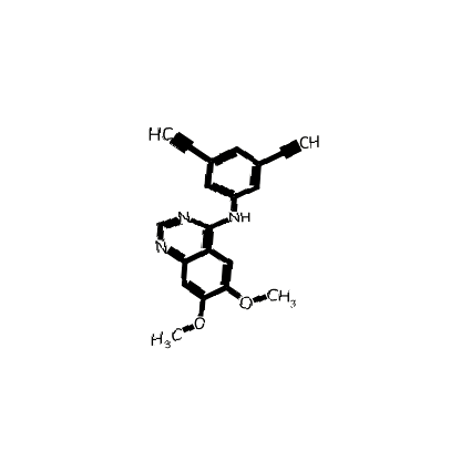 C#Cc1cc(C#C)cc(Nc2ncnc3cc(OC)c(OC)cc23)c1